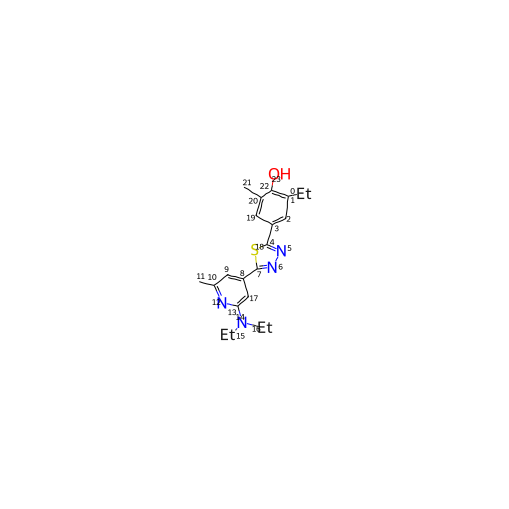 CCc1cc(-c2nnc(-c3cc(C)nc(N(CC)CC)c3)s2)cc(C)c1O